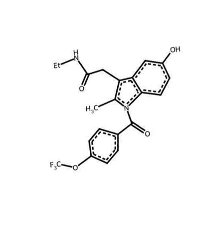 CCNC(=O)Cc1c(C)n(C(=O)c2ccc(OC(F)(F)F)cc2)c2ccc(O)cc12